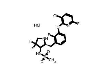 CS(=O)(=O)N[C@@H]1[C@H](Cc2cccc(Oc3nc(F)ccc3Cl)c2F)NCC1(F)F.Cl